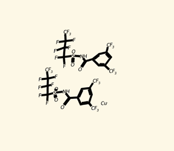 O=C(NS(=O)(=O)C(F)(F)C(F)(F)C(F)(F)C(F)(F)F)c1cc(C(F)(F)F)cc(C(F)(F)F)c1.O=C(NS(=O)(=O)C(F)(F)C(F)(F)C(F)(F)C(F)(F)F)c1cc(C(F)(F)F)cc(C(F)(F)F)c1.[Cu]